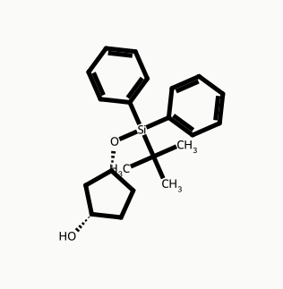 CC(C)(C)[Si](O[C@@H]1CC[C@H](O)C1)(c1ccccc1)c1ccccc1